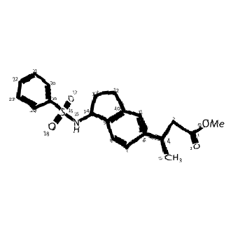 COC(=O)CC(C)c1ccc2c(c1)CCC2NS(=O)(=O)c1ccccc1